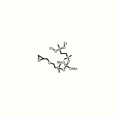 CCO[Si](C)(CC[Si](C)(C)O[Si](OC)(OC)O[Si](C)(C)CCOCC1CO1)OCC